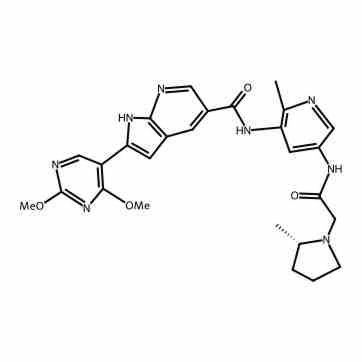 COc1ncc(-c2cc3cc(C(=O)Nc4cc(NC(=O)CN5CCC[C@@H]5C)cnc4C)cnc3[nH]2)c(OC)n1